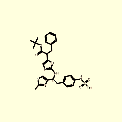 Cc1nc([C@H](Cc2ccc(NS(=O)(=O)O)cc2)Nc2ncc(C(Cc3ccccc3)C(=O)OC(C)(C)C)o2)cs1